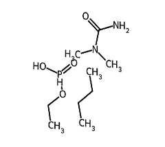 CCCC.CCO[PH](=O)O.CN(C)C(N)=O